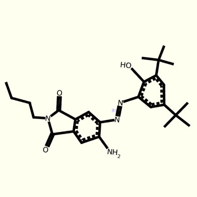 CCCCN1C(=O)c2cc(N)c(/N=N/c3cc(C(C)(C)C)cc(C(C)(C)C)c3O)cc2C1=O